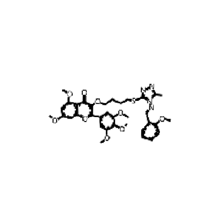 COc1cc(OC)c2c(=O)c(OCCCCSc3nnc(C)n3N=Cc3ccccc3OC)c(-c3cc(OC)c(OC)c(OC)c3)oc2c1